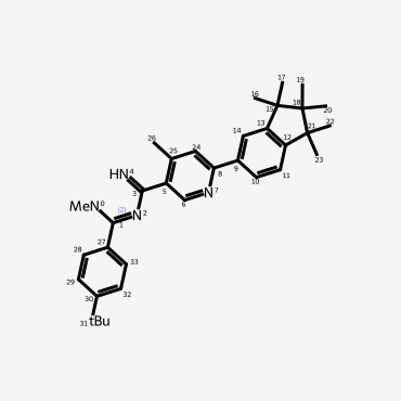 CN/C(=N\C(=N)c1cnc(-c2ccc3c(c2)C(C)(C)C(C)(C)C3(C)C)cc1C)c1ccc(C(C)(C)C)cc1